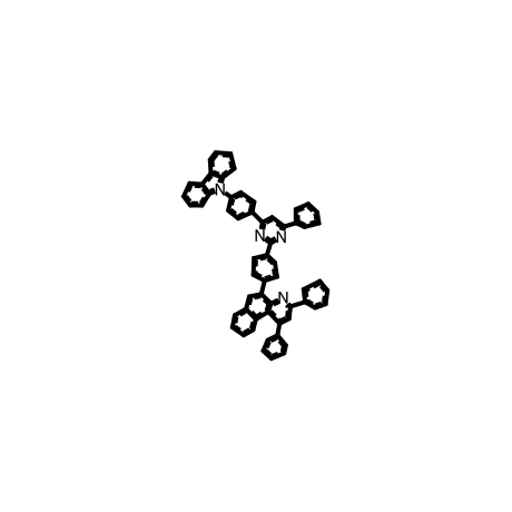 c1ccc(-c2cc(-c3ccc(-n4c5ccccc5c5ccccc54)cc3)nc(-c3ccc(-c4cc5ccccc5c5c(-c6ccccc6)cc(-c6ccccc6)nc45)cc3)n2)cc1